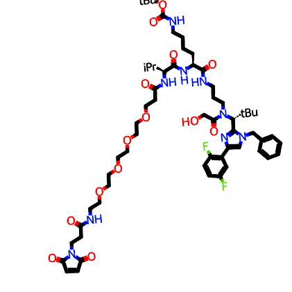 CC(C)[C@H](NC(=O)CCOCCOCCOCCOCCNC(=O)CCN1C(=O)C=CC1=O)C(=O)N[C@@H](CCCCNC(=O)OC(C)(C)C)C(=O)NCCCN(C(=O)CO)[C@@H](c1nc(-c2cc(F)ccc2F)cn1Cc1ccccc1)C(C)(C)C